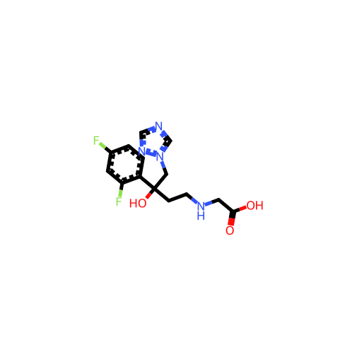 O=C(O)CNCCC(O)(Cn1cncn1)c1ccc(F)cc1F